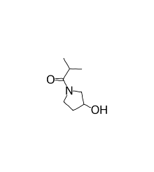 CC(C)C(=O)N1CCC(O)C1